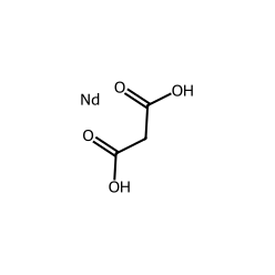 O=C(O)CC(=O)O.[Nd]